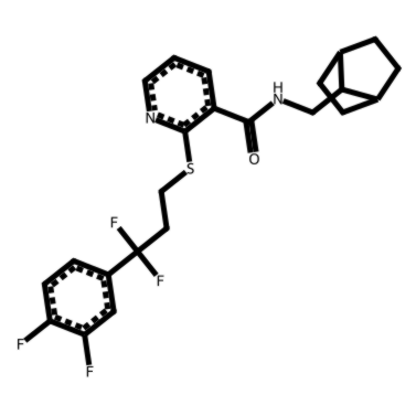 O=C(NCC1C2CCC1CC2)c1cccnc1SCCC(F)(F)c1ccc(F)c(F)c1